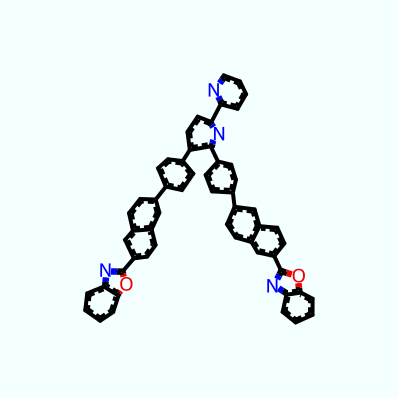 c1ccc(-c2ccc(-c3ccc(-c4ccc5cc(-c6nc7ccccc7o6)ccc5c4)cc3)c(-c3ccc(-c4ccc5cc(-c6nc7ccccc7o6)ccc5c4)cc3)n2)nc1